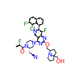 C=C(F)C(=O)N1CCN(c2nc(OCC3CCC4(CO)CCCN34)nc3c(F)c(-c4cccc5ccc(F)c(Cl)c45)ncc23)C[C@@H]1CC#N